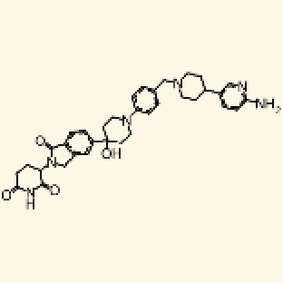 Nc1ccc(C2CCN(Cc3ccc(N4CCC(O)(c5ccc6c(c5)CN(C5CCC(=O)NC5=O)C6=O)CC4)cc3)CC2)cn1